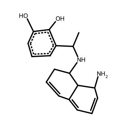 CC(NC1CC=CC2=CC=CC(N)C21)c1cccc(O)c1O